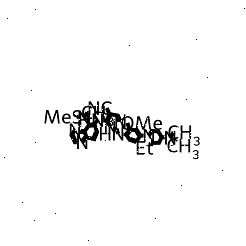 CCc1cc(Nc2ncc(C#N)c(Nc3ccc4nccnc4c3N(C)SC)n2)c(OC)cc1N1CCC(N(C)C)CC1